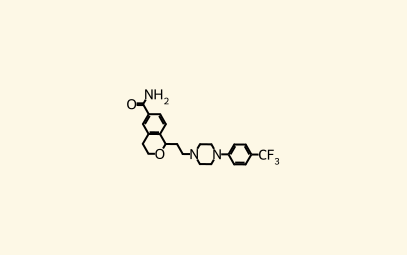 NC(=O)c1ccc2c(c1)CCOC2CCN1CCN(c2ccc(C(F)(F)F)cc2)CC1